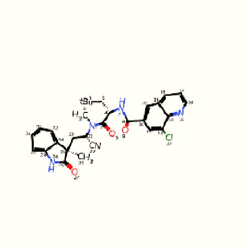 CN(C(=O)[C@H](CC(C)(C)C)NC(=O)c1cc(Cl)c2ncccc2c1)[C@H](C#N)C[C@@]1(C)C(=O)Nc2ccccc21